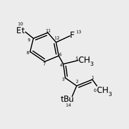 CC=C(/C=C(\C)c1ccc(CC)cc1F)C(C)(C)C